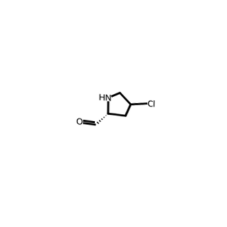 O=C[C@H]1CC(Cl)CN1